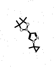 CC1(n2cc(B3OC(C)(C)C(C)(C)O3)cn2)CC1